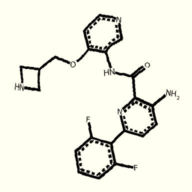 Nc1ccc(-c2c(F)cccc2F)nc1C(=O)Nc1cnccc1OCC1CNC1